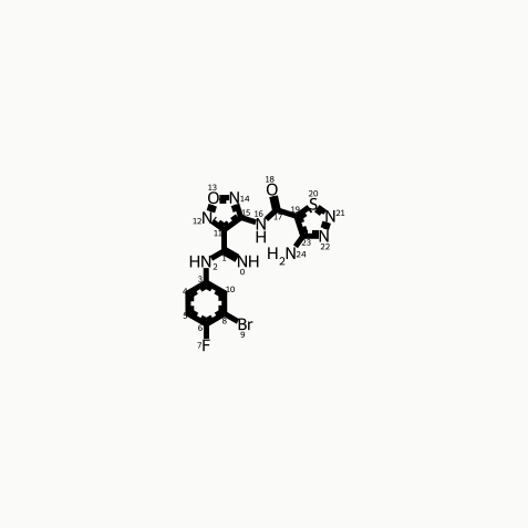 N=C(Nc1ccc(F)c(Br)c1)c1nonc1NC(=O)c1snnc1N